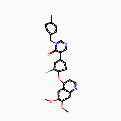 COc1cc2nccc(Oc3ccc(-c4cncn(Cc5ccc(C)cc5)c4=O)cc3F)c2cc1OC